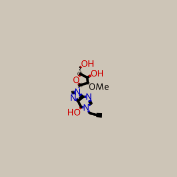 C#CCN1C=Nc2c(ncn2[C@@H]2O[C@H](CO)C(O)C2OC)C1O